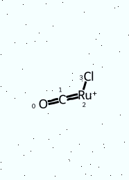 O=[C]=[Ru+][Cl]